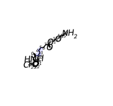 C=C(/C=C\C=C/CCC(=O)OCCOCCN)Nc1c(Cl)cccc1Cl